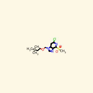 C[Si](C)(C)CCOCn1cnc2c(S(C)(=O)=O)nc(Cl)cc21